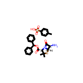 CC1(C)S[C@@H]2[C@H](N)C(=O)N2[C@H]1C(=O)OC(c1ccccc1)c1ccccc1.Cc1ccc(S(=O)(=O)O)cc1